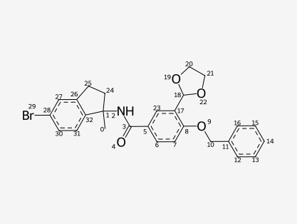 CC1(NC(=O)c2ccc(OCc3ccccc3)c(C3OCCO3)c2)CCc2cc(Br)ccc21